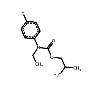 [CH2]CN(C(=O)OCC(C)C)c1ccc(F)cc1